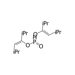 CC(C)C=C(O[PH](=O)OC(=CC(C)C)C(C)C)C(C)C